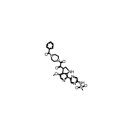 COc1cnc(-c2cnc(NS(C)(=O)=O)cn2)c2c1C(C(=O)C(=O)N1CCN(C(=O)c3ccccc3)CC1)CN2